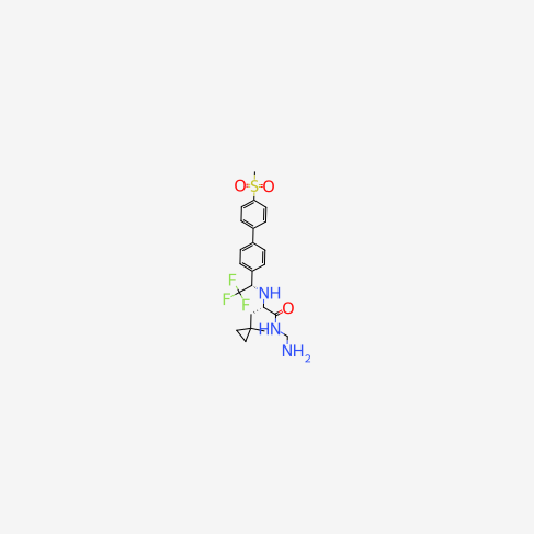 CC1(C[C@H](N[C@@H](c2ccc(-c3ccc(S(C)(=O)=O)cc3)cc2)C(F)(F)F)C(=O)NCN)CC1